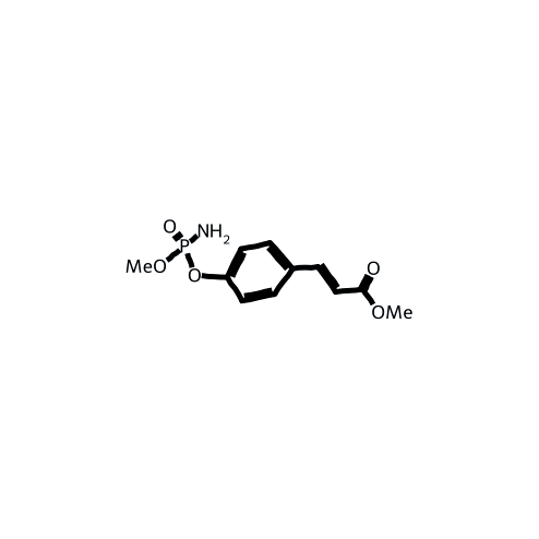 COC(=O)C=Cc1ccc(OP(N)(=O)OC)cc1